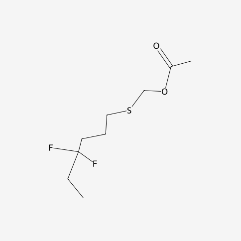 CCC(F)(F)CCCSCOC(C)=O